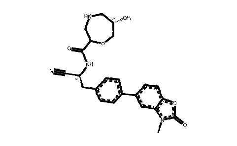 Cn1c(=O)oc2ccc(-c3ccc(C[C@@H](C#N)NC(=O)C4CNC[C@H](O)CO4)cc3)cc21